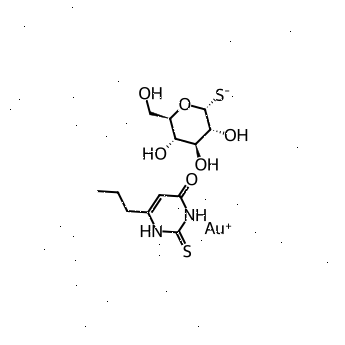 CCCc1cc(=O)[nH]c(=S)[nH]1.OC[C@H]1O[C@H]([S-])[C@H](O)[C@@H](O)[C@@H]1O.[Au+]